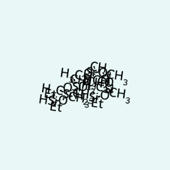 CC[SiH2]O[Si](C)(C)O[Si](C)(C)O[Si](C)(C)O[Si](C)(C)O[Si](C)(C)O[Si](C)(C)O[SiH](CC)CC